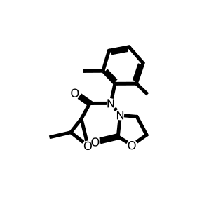 Cc1cccc(C)c1N(C(=O)C1OC1C)N1CCOC1=O